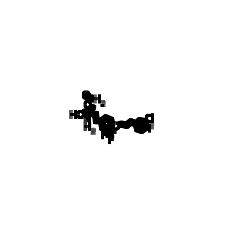 NC(CO)(CCc1ccc(OCCCc2ccc(F)c(Cl)c2)c(C(F)(F)F)c1)CO[PH2]=O